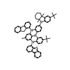 Cc1cc2c3c(c1)N(c1cccc4c1sc1ccccc14)c1ccc(C(C)(C)C)cc1B3c1ccc(N3c4ccc(C(C)(C)C)cc4C4(C)CCCCC34C)cc1N2c1cccc2c1Cc1ccccc1-2